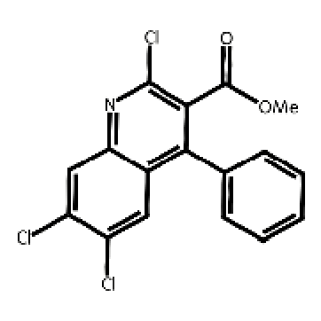 COC(=O)c1c(Cl)nc2cc(Cl)c(Cl)cc2c1-c1ccccc1